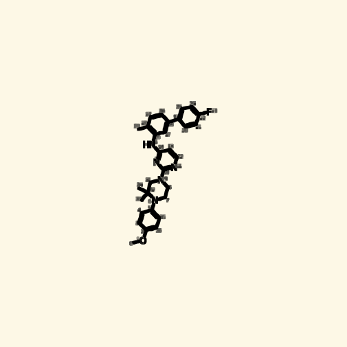 COc1ccc(N2CCN(c3nccc(Nc4cc(-c5ccc(F)cc5)ccc4C)n3)CC2(C)C)cc1